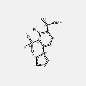 CCc1c(C(=O)OC)ccc(-n2cccc2)c1S(C)(=O)=O